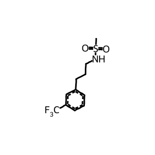 CS(=O)(=O)NCCCc1cccc(C(F)(F)F)c1